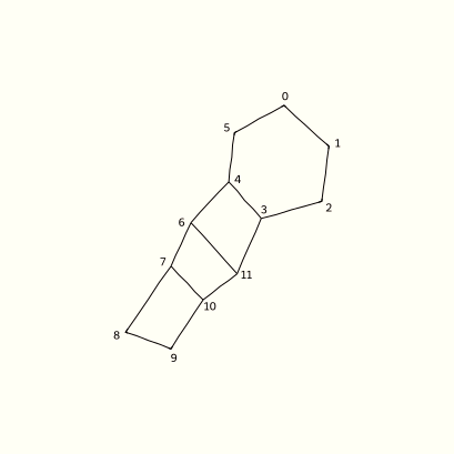 C1CCC2C(C1)C1C3CCC3C21